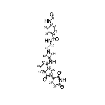 O=CNc1ccc(C(=O)NCCN2CC(Nc3cccc4c3CN(C3CCC(=O)NC3=O)C4=O)C2)cc1